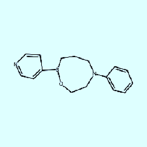 c1ccc(N2CCCB(c3ccncc3)OCC2)cc1